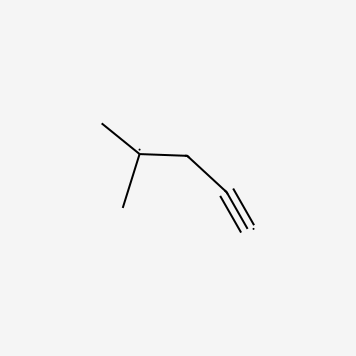 [C]#CC[C](C)C